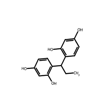 CCC(c1ccc(O)cc1O)c1ccc(O)cc1O